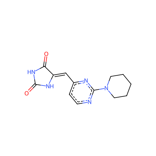 O=C1NC(=O)/C(=C/c2ccnc(N3CCCCC3)n2)N1